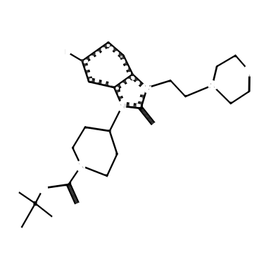 CC(C)(C)OC(=O)N1CCC(n2c(=O)n(CCN3CCOCC3)c3ccc(F)cc32)CC1